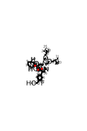 CC(C)(C)OC(=O)N1[C@@H]2CC[C@H]1C[C@@H](c1cc(N(COCC[Si](C)(C)C)COCC[Si](C)(C)C)n3ncc(-c4ccc(CO)c(F)c4)c3n1)C2